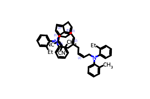 CCc1ccccc1N(C/C=C\C/C1=C/C=C(/C2=C\C=C(\N(c3ccccc3C)c3ccccc3CC)C/C=C\C2)C/C(C#N)=C(/C#N)C1)c1ccccc1C